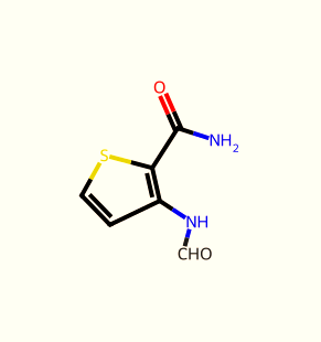 NC(=O)c1sccc1NC=O